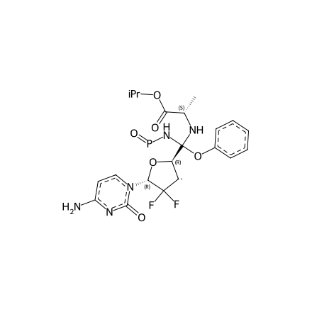 CC(C)OC(=O)[C@H](C)NC(NP=O)(Oc1ccccc1)[C@H]1[CH]C(F)(F)[C@H](n2ccc(N)nc2=O)O1